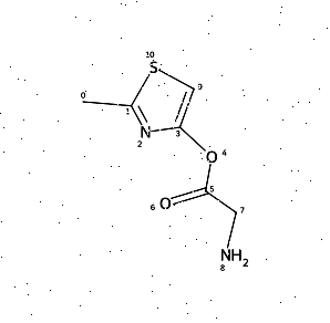 Cc1nc(OC(=O)CN)cs1